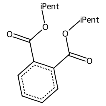 CCCC(C)OC(=O)c1ccccc1C(=O)OC(C)CCC